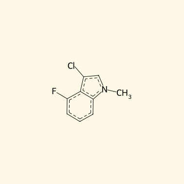 Cn1cc(Cl)c2c(F)cccc21